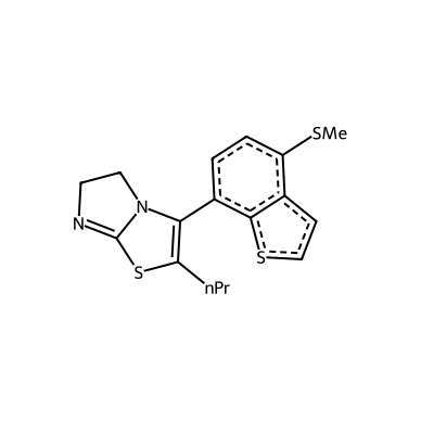 CCCC1=C(c2ccc(SC)c3ccsc23)N2CCN=C2S1